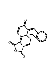 O=C1C=CC2=C3C(=O)OC(=O)C3=CCC23Cc2ccccc2C=C13